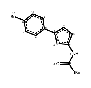 CC(C)(C)C(=O)Nc1ccc(-c2ccc(Br)cc2)s1